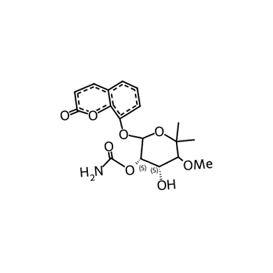 COC1[C@H](O)[C@H](OC(N)=O)C(Oc2cccc3ccc(=O)oc23)OC1(C)C